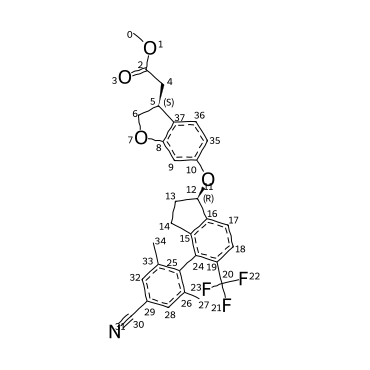 COC(=O)C[C@@H]1COc2cc(O[C@@H]3CCc4c3ccc(C(F)(F)F)c4-c3c(C)cc(C#N)cc3C)ccc21